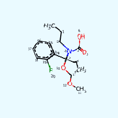 CCCN(C(=O)O)[C@](CC)(OCOC)c1ccccc1F